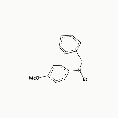 CCN(Cc1ccccc1)c1ccc(OC)cc1